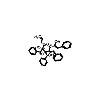 C=CC[C@@H]1O[C@H](C(O)Cc2ccccc2)[C@](O)(Cc2ccccc2)[C@@](O)(Cc2ccccc2)[C@@]1(O)Cc1ccccc1